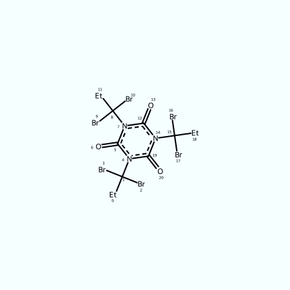 CCC(Br)(Br)n1c(=O)n(C(Br)(Br)CC)c(=O)n(C(Br)(Br)CC)c1=O